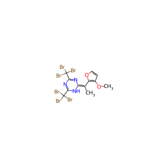 COc1ccoc1/C(C)=C1\N=C(C(Br)(Br)Br)N=C(C(Br)(Br)Br)N1